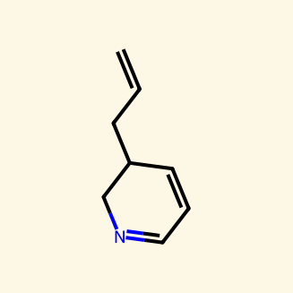 C=CCC1C=CC=NC1